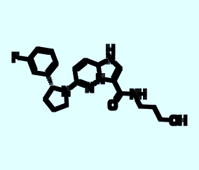 O=C(NCCCO)C1=CNC2C=CC(N3CCC[C@@H]3c3cccc(F)c3)=NN12